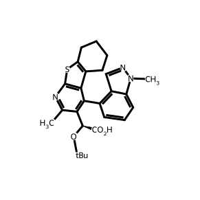 Cc1nc2sc3c(c2c(-c2cccc4c2cnn4C)c1[C@H](OC(C)(C)C)C(=O)O)CCCC3